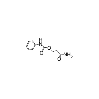 NC(=O)CCOC(=O)Nc1ccccc1